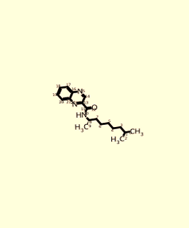 CC(C)CCCCC[C@H](C)NC(=O)c1cnc2ccccc2n1